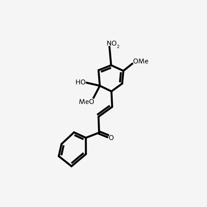 COC1=CC(/C=C/C(=O)c2ccccc2)C(O)(OC)C=C1[N+](=O)[O-]